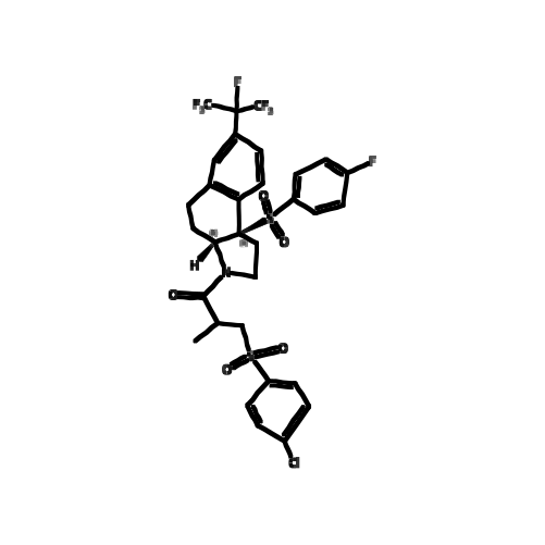 CC(CS(=O)(=O)c1ccc(Cl)cc1)C(=O)N1CC[C@@]2(S(=O)(=O)c3ccc(F)cc3)c3ccc(C(F)(C(F)(F)F)C(F)(F)F)cc3CC[C@@H]12